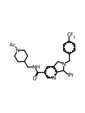 CC(=O)N1CCC(CNC(=O)c2cnc3c(c2)CN(Cc2ccc(C(F)(F)F)cc2)C3C(C)C)CC1